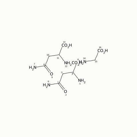 NC(=O)CC(N)C(=O)O.NC(=O)CC(N)C(=O)O.NCC(=O)O